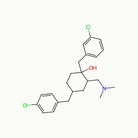 CN(C)CC1CC(Cc2ccc(Cl)cc2)CCC1(O)Cc1cccc(Cl)c1